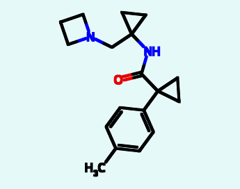 Cc1ccc(C2(C(=O)NC3(CN4CCC4)CC3)CC2)cc1